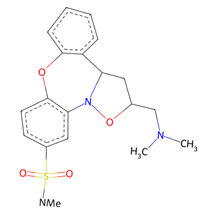 CNS(=O)(=O)c1ccc2c(c1)N1OC(CN(C)C)CC1c1ccccc1O2